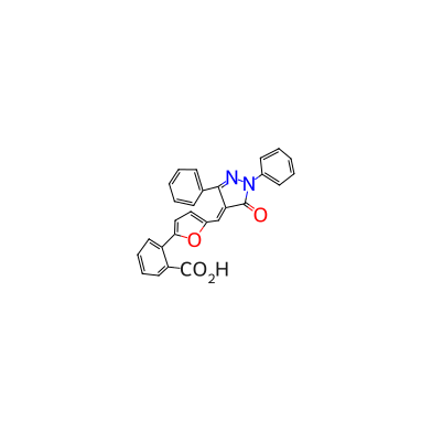 O=C(O)c1ccccc1-c1ccc(/C=C2/C(=O)N(c3ccccc3)N=C2c2ccccc2)o1